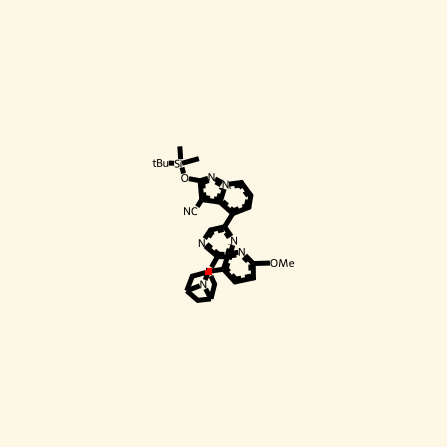 COc1ccc(CN2C3CC2CN(c2cnc(-c4cccn5nc(O[Si](C)(C)C(C)(C)C)c(C#N)c45)cn2)C3)cn1